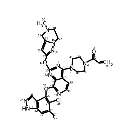 C=CC(=O)N1CCN(c2nc(Oc3cc4n(n3)CCN(C)C4)nc3c(Oc4c(Cl)c(F)cc5[nH]ncc45)nccc23)CC1